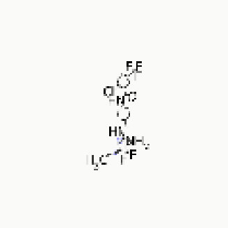 C=C/C=C(\C=C(/N)NC[C@H]1CC[C@H](NC(=O)c2cc(C(F)(F)F)ccc2Cl)CC1)C(F)(F)F